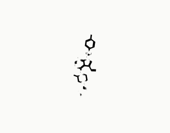 C=Cc1cn(S(=O)(=O)c2ccc(C)cc2)c2ncnc(N3C[C@H](C)N(C(=O)OC(C)(C)C)CC3C)c12